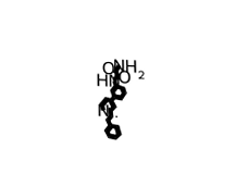 NC(=O)C(=O)Nc1cccc(-c2ccnc([CH]Cc3ccccc3)c2)c1